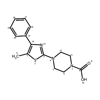 Cc1sc(N2CCN(C(=O)O)CC2)nc1-c1ccccc1